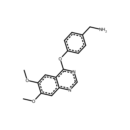 COc1cc2ncnc(Oc3ccc(CN)cc3)c2cc1OC